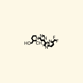 CC1C(CO)CCCN1c1cc(-c2cnc3ccc(C(F)F)nn23)ncn1